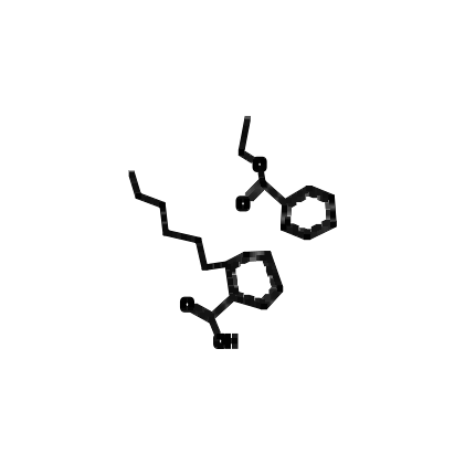 CCCCCCc1ccccc1C(=O)O.CCOC(=O)c1ccccc1